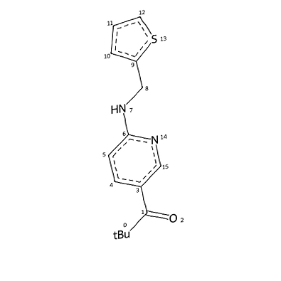 CC(C)(C)C(=O)c1ccc(NCc2cccs2)nc1